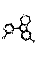 Fc1ccc2c(-c3ccnc(Cl)n3)c3n(c2c1)CCOC3